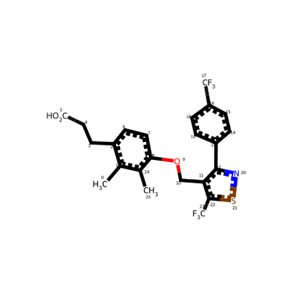 Cc1c(CCC(=O)O)ccc(OCc2c(-c3ccc(C(F)(F)F)cc3)nsc2C(F)(F)F)c1C